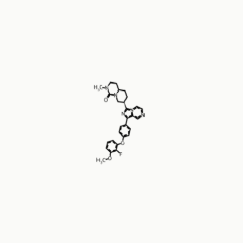 COc1cccc(Oc2ccc(-c3nc([C@@H]4CCC5CCN(C)C(=O)N5C4)n4ccncc34)cc2)c1F